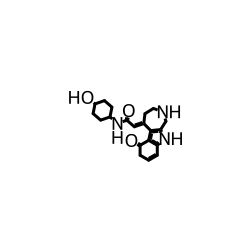 O=C(C=C1CCNCc2[nH]c3c(c21)C(=O)CC=C3)NC1CCC(O)CC1